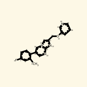 Cc1cc(F)ccc1-c1cnc2nc(COc3cccnc3)cn2c1